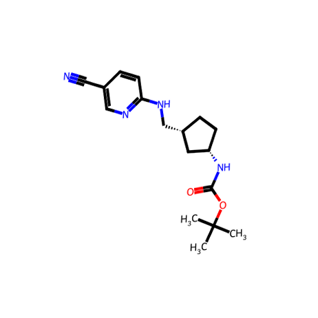 CC(C)(C)OC(=O)N[C@H]1CC[C@@H](CNc2ccc(C#N)cn2)C1